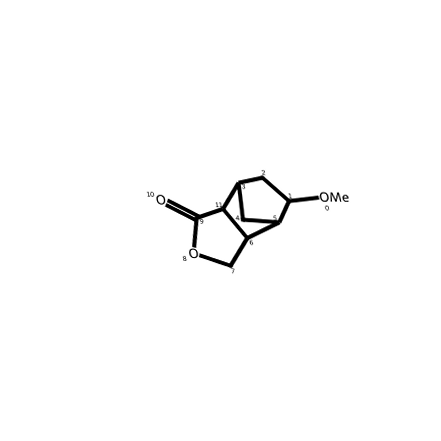 COC1CC2CC1C1COC(=O)C21